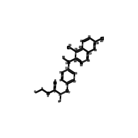 CCOC(=O)C(C)Oc1ccc(N(C)c2ncc3cc(Cl)ccc3c2Cl)cc1